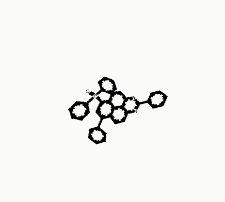 O=P(c1ccccc1)(c1ccccc1)c1cc(-c2ccccc2)c2ccc3nc(-c4ccccc4)nc4ccc1c2c34